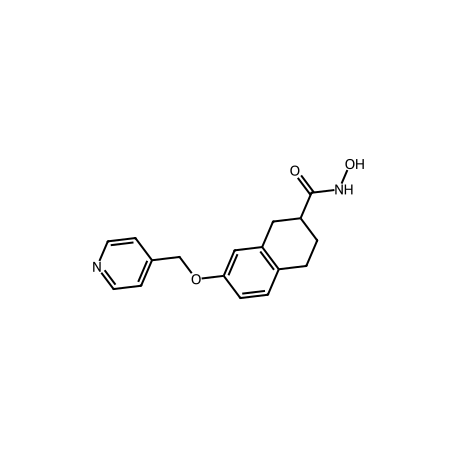 O=C(NO)C1CCc2ccc(OCc3ccncc3)cc2C1